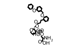 N[C@@H](COP(=O)(O)O[C@H]1C=CCO[C@@H]1COC(=O)CCc1ccccc1OCc1cccc(Oc2ccccc2)c1)C(=O)O